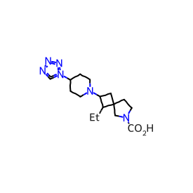 CCC1C(N2CCC(n3cnnn3)CC2)CC12CCN(C(=O)O)C2